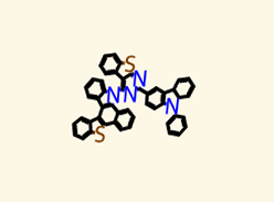 C1=CC2c3cc(-c4nc(-n5c6ccccc6c6c7c8ccccc8sc7c7ccccc7c65)c5c(n4)sc4ccccc45)ccc3N(c3ccccc3)C2C=C1